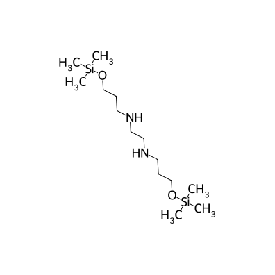 C[Si](C)(C)OCCCNCCNCCCO[Si](C)(C)C